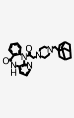 O=C1Nc2cccnc2N(C(=O)CN2CCN(CC34CC5CC(CC(C5)C3)C4)CC2)c2ccccc21